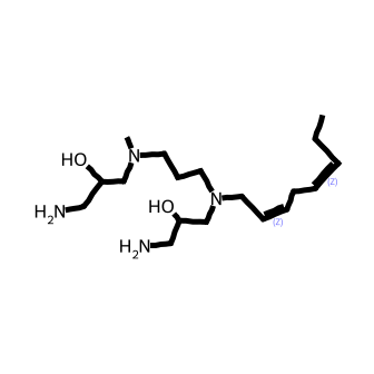 CC/C=C\C/C=C\CN(CCCN(C)CC(O)CN)CC(O)CN